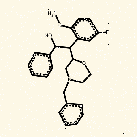 COc1ccc(F)cc1C(C1CN(Cc2ccccc2)CCO1)C(O)c1ccccc1